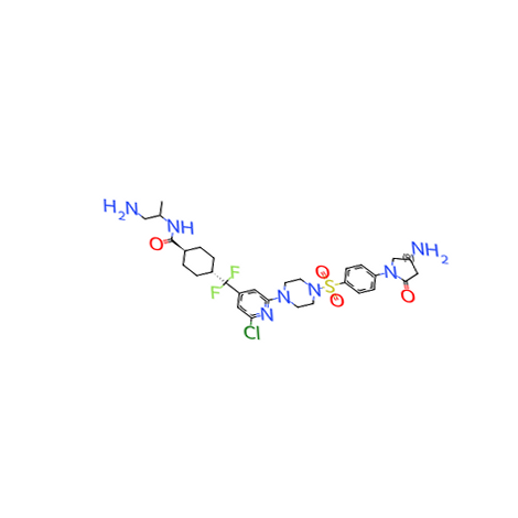 CC(CN)NC(=O)[C@H]1CC[C@H](C(F)(F)c2cc(Cl)nc(N3CCN(S(=O)(=O)c4ccc(N5C[C@H](N)CC5=O)cc4)CC3)c2)CC1